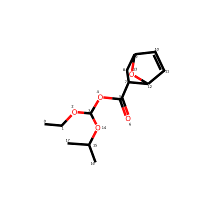 CCOC(OC(=O)C1CC2C=CC1O2)OC(C)C